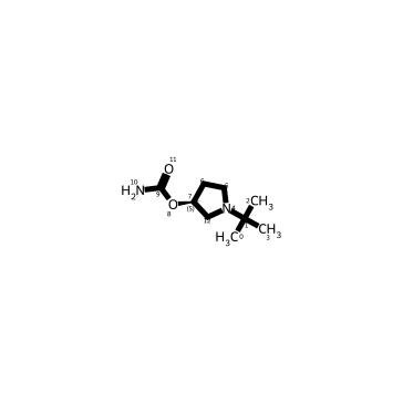 CC(C)(C)N1CC[C@H](OC(N)=O)C1